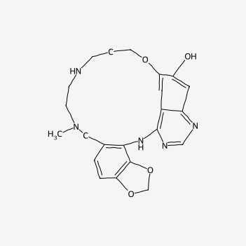 CN1CCNCCCOc2cc3c(ncnc3cc2O)Nc2c(ccc3c2OCO3)C1